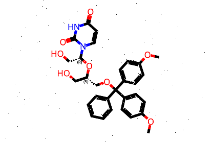 COc1ccc(C(OC[C@H](CO)O[C@H](CO)n2ccc(=O)[nH]c2=O)(c2ccccc2)c2ccc(OC)cc2)cc1